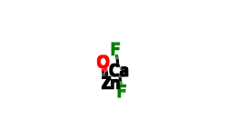 [F][Ca][F].[O]=[Zn]